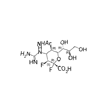 CC(=O)N[C@H]1C([C@H](O)[C@H](O)CO)O[C@@](F)(C(=O)O)[C@@H](F)C1NC(=N)N